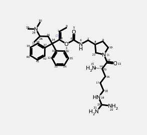 C/C=C(\OC(=O)NCC1CCN(C(=O)[C@@H](N)CCCNC(N)N)C1)C(CC(C)N(C)C)(c1ccccc1)c1ccccc1